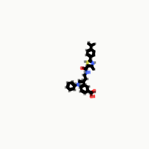 Cc1nc(-c2ccc(C(C)C)cc2)sc1C(=O)NCCc1cn(-c2ccccc2)c2ccc(C(=O)O)cc12